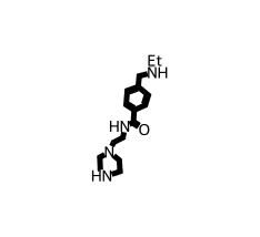 CCNCc1ccc(C(=O)NCCN2CCNCC2)cc1